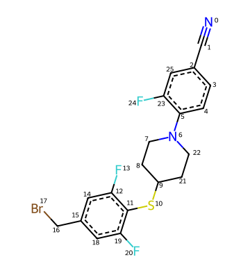 N#Cc1ccc(N2CCC(Sc3c(F)cc(CBr)cc3F)CC2)c(F)c1